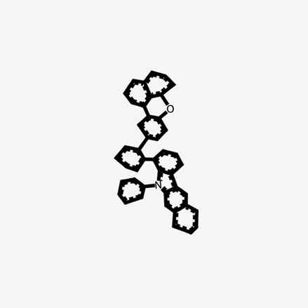 c1ccc(-n2c3cc4ccccc4cc3c3cccc(-c4ccccc4-c4ccc5c(c4)-c4cccc6cccc(c46)O5)c32)cc1